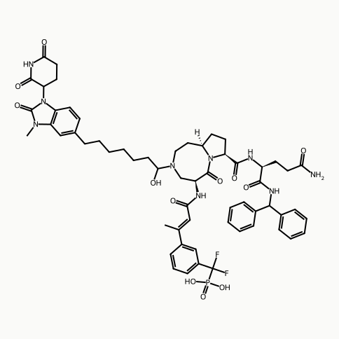 C/C(=C\C(=O)N[C@H]1CN(C(O)CCCCCCc2ccc3c(c2)n(C)c(=O)n3C2CCC(=O)NC2=O)CC[C@H]2CC[C@@H](C(=O)N[C@@H](CCC(N)=O)C(=O)NC(c3ccccc3)c3ccccc3)N2C1=O)c1cccc(C(F)(F)P(=O)(O)O)c1